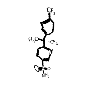 C[C@@](c1ccc(C(F)(F)F)cc1)(c1ccc(S(N)(=O)=O)cn1)C(F)(F)F